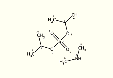 CC(C)OS(=O)(=O)OC(C)C.CNC